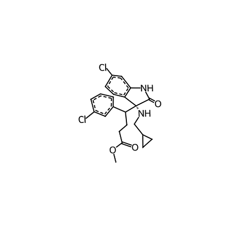 COC(=O)CCC(c1cccc(Cl)c1)[C@]1(NCC2CC2)C(=O)Nc2cc(Cl)ccc21